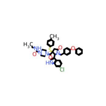 CCNC(=O)N1CCN(C(=O)C2(Sc3ccc(C)cc3)CC(=O)N(Cc3ccc(Oc4ccccc4)cc3)C2c2c[nH]c3cc(Cl)ccc23)CC1